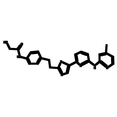 Cc1ccnc(Nc2cccc(-c3cnc(CCc4ccc(NC(=O)CO)cc4)s3)n2)c1